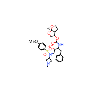 COc1ccc(S(=O)(=O)N(C[C@@H](O)[C@H](Cc2ccccc2)NC(=O)O[C@H]2CO[C@H]3OCCC32)C2CN(C)C2)cc1